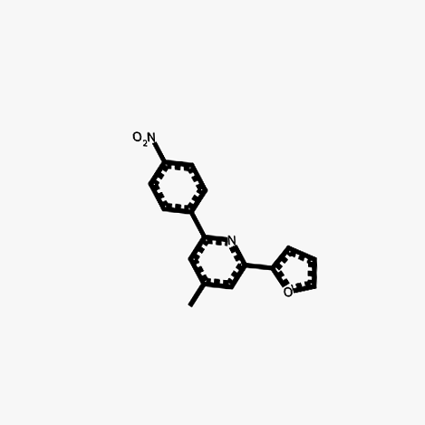 Cc1cc(-c2ccc([N+](=O)[O-])cc2)nc(-c2ccco2)c1